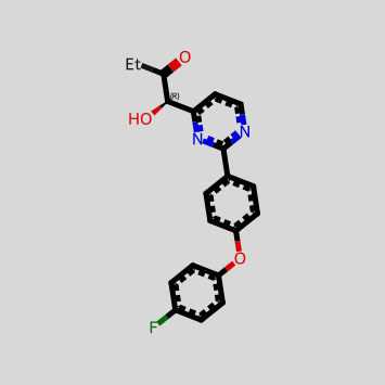 CCC(=O)[C@H](O)c1ccnc(-c2ccc(Oc3ccc(F)cc3)cc2)n1